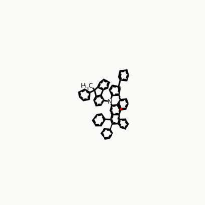 CC1(c2ccccc2)c2ccccc2-c2c(N(c3ccc4c(c3)c(-c3ccccc3)c(-c3ccccc3)c3ccccc34)c3ccc(-c4ccccc4)cc3-c3ccccc3)cccc21